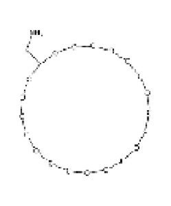 NCC1COCCOCCOCCOCCOCCOCCO1